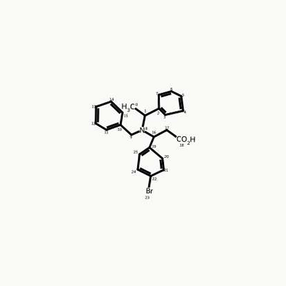 CC(c1ccccc1)N(Cc1ccccc1)C(CC(=O)O)c1ccc(Br)cc1